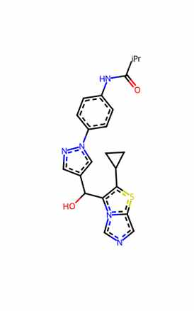 CC(C)C(=O)Nc1ccc(-n2cc(C(O)c3c(C4CC4)sc4cncn34)cn2)cc1